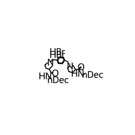 Br.Br.CCCCCCCCCCNC(=O)C1CCCN(Cc2ccc(CN3CCCC(C(=O)NCCCCCCCCCC)C3)cc2)C1